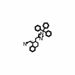 N#C/C=C1\c2ccccc2CCC1Cc1cn(C(c2ccccc2)(c2ccccc2)c2ccccc2)cn1